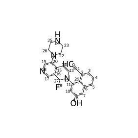 C#Cc1cccc2cc(O)cc(N3C=Cc4c(cncc4N4CCNCC4)C3F)c12